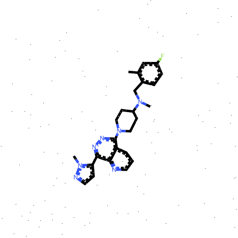 Cc1cc(F)ccc1CN(C)C1CCN(c2nnc(-c3ccnn3C)c3ncccc23)CC1